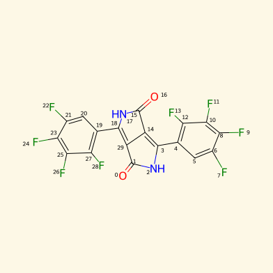 O=C1NC(c2cc(F)c(F)c(F)c2F)=C2C(=O)NC(c3cc(F)c(F)c(F)c3F)=C12